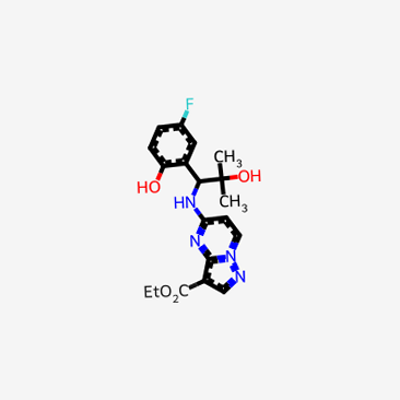 CCOC(=O)c1cnn2ccc(NC(c3cc(F)ccc3O)C(C)(C)O)nc12